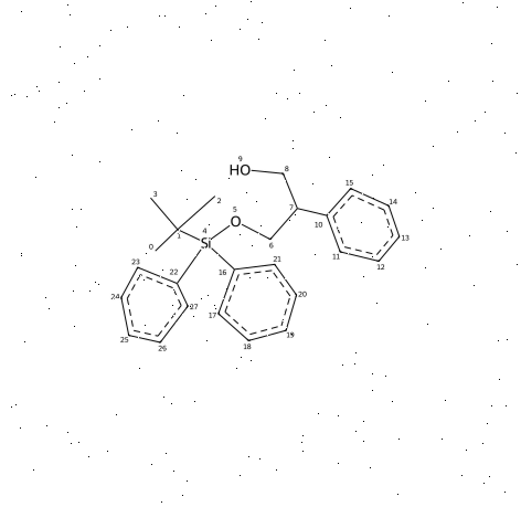 CC(C)(C)[Si](OCC(CO)c1ccccc1)(c1ccccc1)c1ccccc1